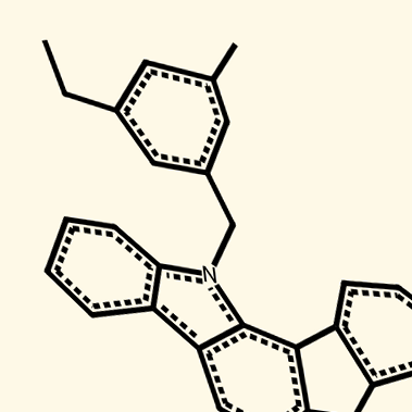 CCc1cc(C)cc(Cn2c3ccccc3c3ccc4c(c32)-c2ccccc2C4)c1